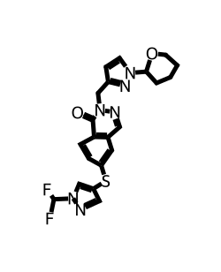 O=c1c2ccc(Sc3cnn(C(F)F)c3)cc2cnn1Cc1ccn(C2CCCCO2)n1